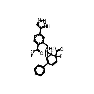 COC(=O)c1ccc(-c2cnn[nH]2)cc1CNC1(F)C=C(c2ccccc2)C=CC1(F)C(=O)O